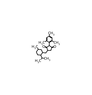 Cc1cc(C)c(C2C(=O)CC(CC3CC(C)CCC3C(C)C)C2=O)c(C)c1